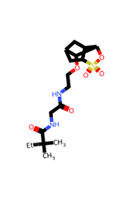 CCC(C)(C)C(=O)NCC(=O)NCCOC1C2CC3C1OS(=O)(=O)C3C2